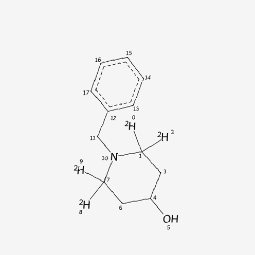 [2H]C1([2H])CC(O)CC([2H])([2H])N1Cc1ccccc1